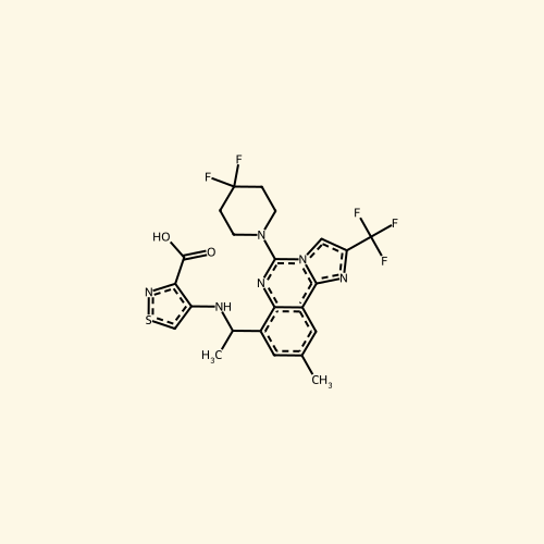 Cc1cc(C(C)Nc2csnc2C(=O)O)c2nc(N3CCC(F)(F)CC3)n3cc(C(F)(F)F)nc3c2c1